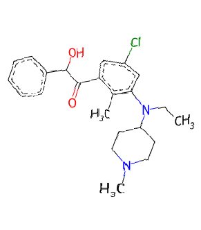 CCN(c1cc(Cl)cc(C(=O)C(O)c2ccccc2)c1C)C1CCN(C)CC1